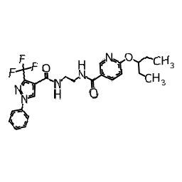 CCC(CC)Oc1ccc(C(=O)NCCNC(=O)c2cn(-c3ccccc3)nc2C(F)(F)F)cn1